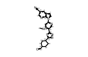 CNc1cc(-n2ccc3cc(C#N)cnc32)ncc1-c1nnc(C2CCC(C=O)CC2)s1